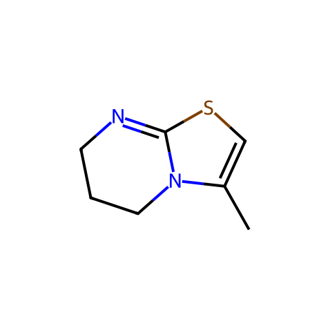 CC1=CSC2=NCCCN12